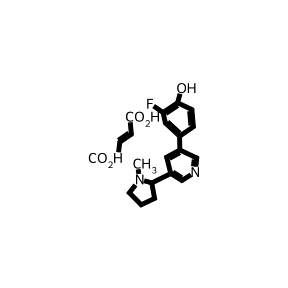 CN1CCCC1c1cncc(-c2ccc(O)c(F)c2)c1.O=C(O)C=CC(=O)O